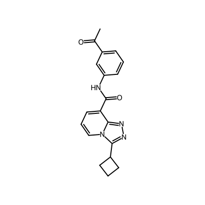 CC(=O)c1cccc(NC(=O)c2cccn3c(C4CCC4)nnc23)c1